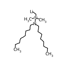 [Li][CH2][Si](C)(C)N(CCCCCCCC)CCCCCCCC